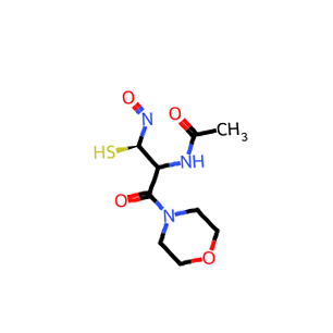 CC(=O)NC(C(=O)N1CCOCC1)[C@@H](S)N=O